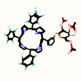 CC(=O)OCC1O[C@@H](Oc2cccc(-c3c4nc(c(-c5c(F)c(F)c(F)c(F)c5F)c5ccc([nH]5)c(-c5c(F)c(F)c(F)c(F)c5F)c5nc(c(-c6c(F)c(F)c(F)c(F)c6F)c6ccc3[nH]6)C=C5)C=C4)c2)C(OC(C)=O)C(OC(C)=O)[C@@H]1O